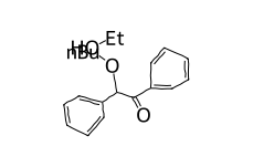 CCCCOC(C(=O)c1ccccc1)c1ccccc1.CCO